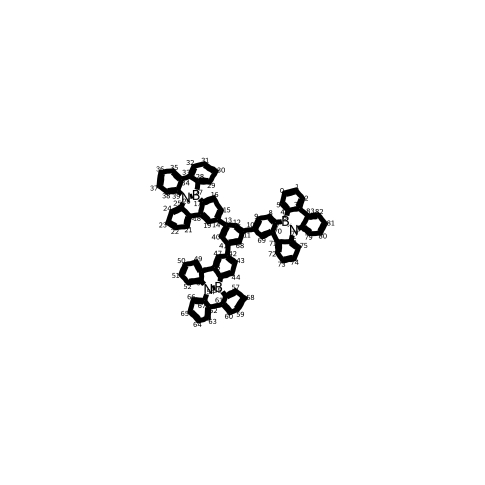 c1ccc2c(c1)B1c3ccc(-c4cc(-c5ccc6c(c5)-c5ccccc5N5B6c6ccccc6-c6ccccc65)cc(-c5ccc6c(c5)-c5ccccc5N5B6c6ccccc6-c6ccccc65)c4)cc3-c3ccccc3N1c1ccccc1-2